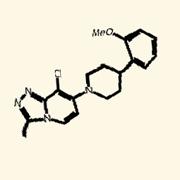 COc1ccccc1C1CCN(c2ccn3c(C)nnc3c2Cl)CC1